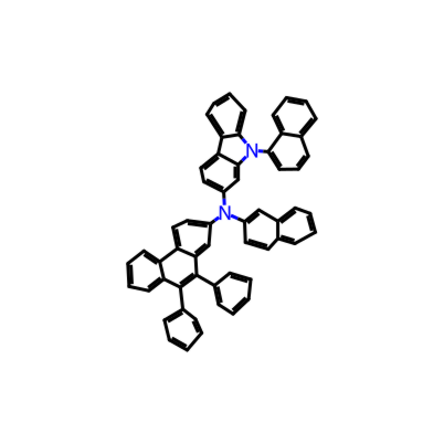 c1ccc(-c2c(-c3ccccc3)c3cc(N(c4ccc5ccccc5c4)c4ccc5c6ccccc6n(-c6cccc7ccccc67)c5c4)ccc3c3ccccc23)cc1